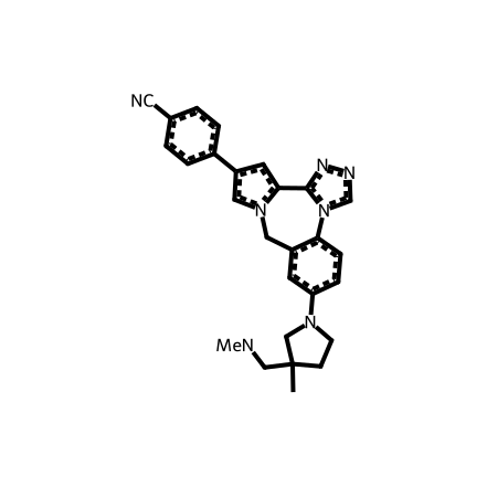 CNCC1(C)CCN(c2ccc3c(c2)Cn2cc(-c4ccc(C#N)cc4)cc2-c2nncn2-3)C1